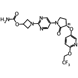 NC(=O)OC1CN(c2ncc(N3CC[C@@H](Oc4ccc(OCC(F)(F)F)nc4)C3=O)cn2)C1